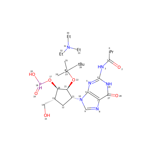 CC(C)C(=O)Nc1nc2c(ncn2[C@@H]2C[C@H](CO)[C@@H](O[PH](=O)O)[C@H]2O[Si](C)(C)C(C)(C)C)c(=O)[nH]1.CCN(CC)CC